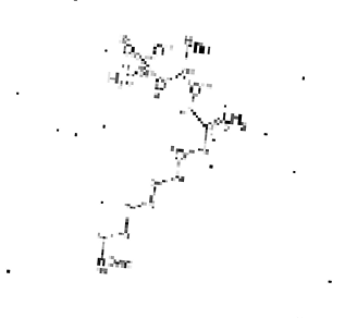 C=C(COCCCCCCCCCCCCCCCC)COC(CCCC)OS(C)(=O)=O